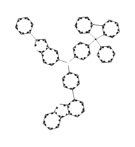 c1ccc(-c2cc3cc(N(c4ccc(-c5cccc6c5oc5ccccc56)cc4)c4ccc(C5(c6ccccc6)c6ccccc6-c6ccccc65)cc4)ccc3o2)cc1